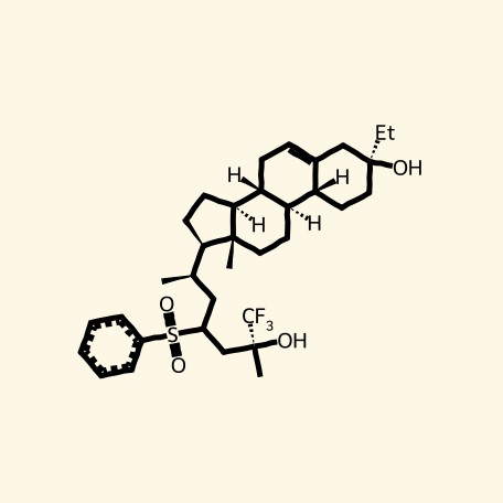 CC[C@]1(O)CC[C@H]2C(=CC[C@@H]3[C@@H]2CC[C@]2(C)[C@@H]([C@H](C)CC(C[C@](C)(O)C(F)(F)F)S(=O)(=O)c4ccccc4)CC[C@@H]32)C1